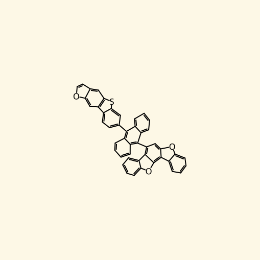 c1ccc2c(c1)oc1c2c(-c2c3ccccc3c(-c3ccc4c(c3)sc3cc5ccoc5cc34)c3ccccc23)cc2oc3ccccc3c21